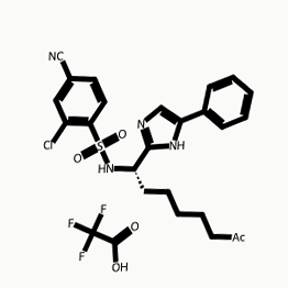 CC(=O)CCCCC[C@H](NS(=O)(=O)c1ccc(C#N)cc1Cl)c1ncc(-c2ccccc2)[nH]1.O=C(O)C(F)(F)F